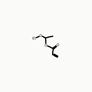 [CH2]COC(C)OC(=O)C=C